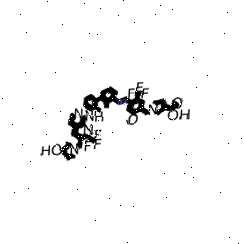 COc1cc(/C=C/c2cccc(-c3cccc(Nc4nccc5cc(CN6CCC(O)C6)c(C(F)(F)F)nc45)c3C)c2C)c(C(F)(F)F)cc1CN1CCC(C(=O)O)C1